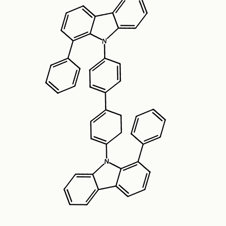 C1=C(c2ccc(-n3c4ccccc4c4cccc(-c5ccccc5)c43)cc2)CCC(n2c3ccccc3c3cccc(-c4ccccc4)c32)=C1